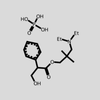 CCN(CC)CC(C)(C)COC(=O)C(CO)c1ccccc1.O=P(O)(O)O